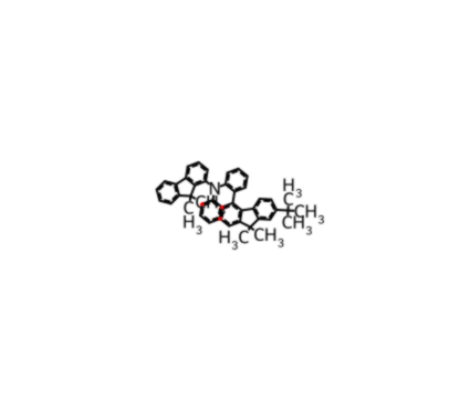 CC(C)(C)c1ccc2c(c1)C(C)(C)c1cccc(-c3ccccc3N(c3ccccc3)c3cccc4c3C(C)(C)c3ccccc3-4)c1-2